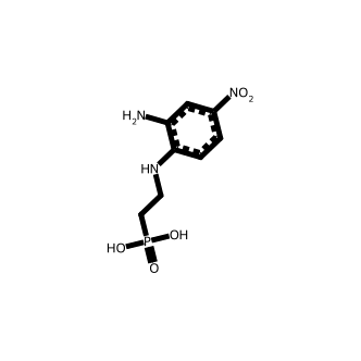 Nc1cc([N+](=O)[O-])ccc1NCCP(=O)(O)O